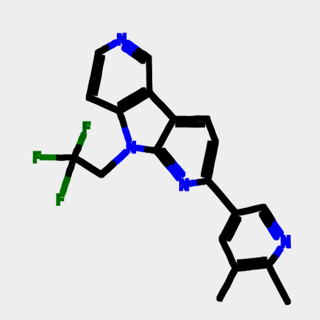 Cc1cc(-c2ccc3c4cnccc4n(CC(F)(F)F)c3n2)cnc1C